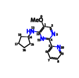 COc1cnc(-c2ccccn2)nc1NC1CCCC1